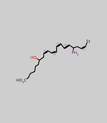 CC/C=C\CC(P)/C=C/C=C\C=C/C=C\CC(O)CCCCCC(=O)O